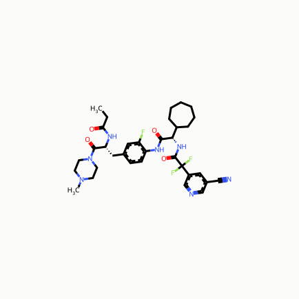 CCC(=O)N[C@H](Cc1ccc(NC(=O)[C@@H](NC(=O)C(F)(F)c2cncc(C#N)c2)C2CCCCCC2)c(F)c1)C(=O)N1CCN(C)CC1